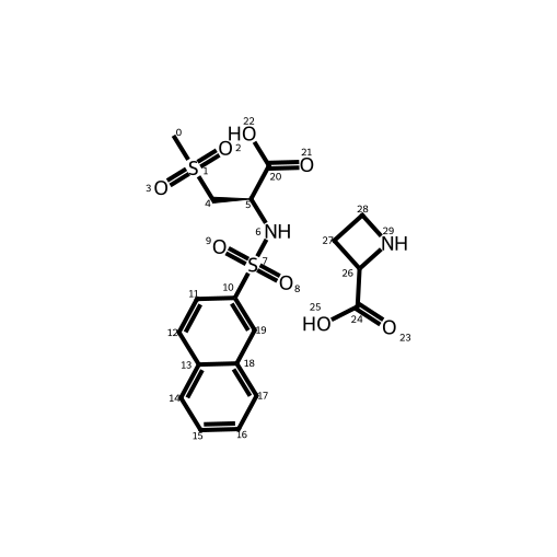 CS(=O)(=O)C[C@H](NS(=O)(=O)c1ccc2ccccc2c1)C(=O)O.O=C(O)C1CCN1